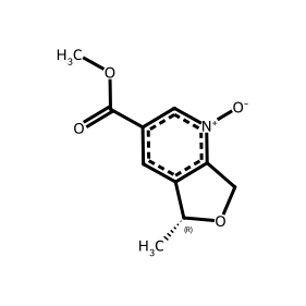 COC(=O)c1cc2c([n+]([O-])c1)CO[C@@H]2C